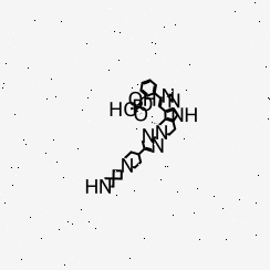 C[C@@H]1c2c([nH]c3nnc(-c4ccccc4OP(=O)(O)O)cc23)CCN1c1ncc(C2CCN(C3CC4(CNC4)C3)CC2)cn1